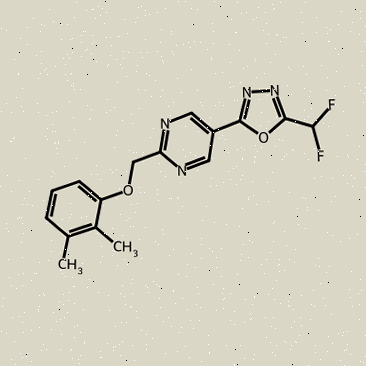 Cc1cccc(OCc2ncc(-c3nnc(C(F)F)o3)cn2)c1C